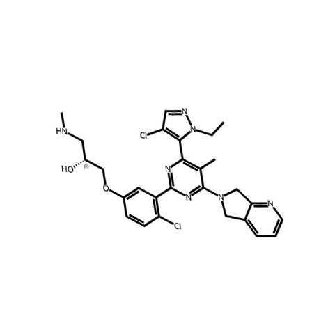 CCn1ncc(Cl)c1-c1nc(-c2cc(OC[C@H](O)CNC)ccc2Cl)nc(N2Cc3cccnc3C2)c1C